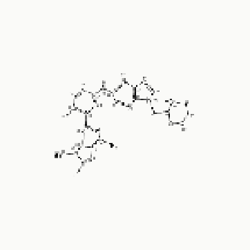 Cc1nc2c(F)cc(-c3nc(Nc4ccc5c(ccn5CC5COCCN5)n4)ncc3F)cc2n1C(C)C